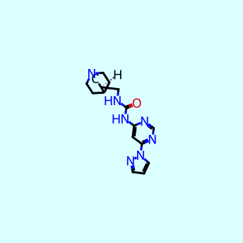 O=C(NC[C@@H]1CN2CCC1CC2)Nc1cc(-n2cccn2)ncn1